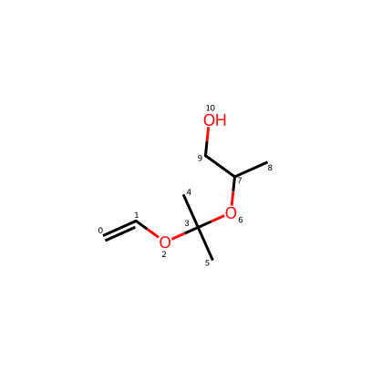 C=COC(C)(C)OC(C)CO